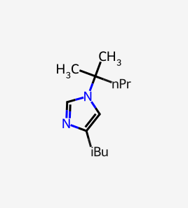 CCCC(C)(C)n1cnc(C(C)CC)c1